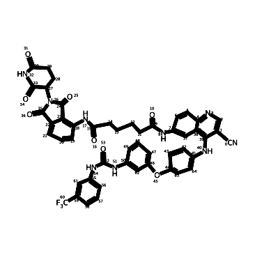 N#Cc1cnc2ccc(NC(=O)CCCCC(=O)Nc3cccc4c3C(=O)N(C3CCC(=O)NC3=O)C4=O)cc2c1Nc1ccc(Oc2cccc(NC(=O)Nc3cccc(C(F)(F)F)c3)c2)cc1